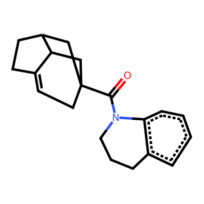 O=C(N1CCCc2ccccc21)C12CC=C3CCC(C1)C3C2